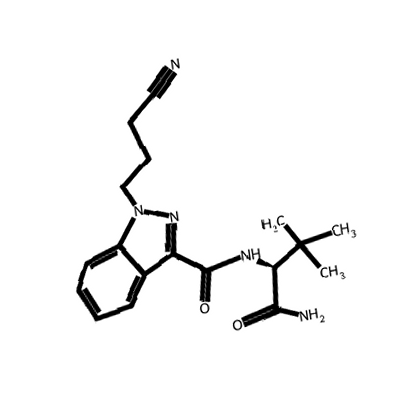 CC(C)(C)[C@H](NC(=O)c1nn(CCCC#N)c2ccccc12)C(N)=O